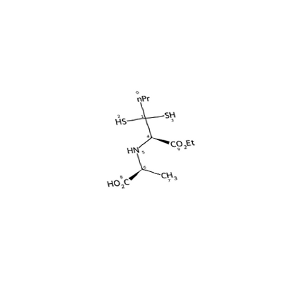 CCCC(S)(S)[C@H](N[C@@H](C)C(=O)O)C(=O)OCC